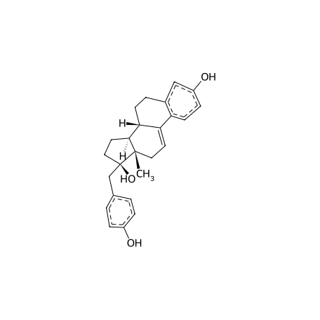 C[C@]12CC=C3c4ccc(O)cc4CC[C@H]3[C@@H]1CC[C@@]2(O)Cc1ccc(O)cc1